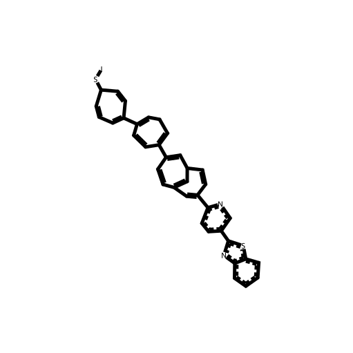 ISC1C=CC=C(C2=CCC=C(C3=CC4C=CC(c5ccc(-c6nc7ccccc7s6)cn5)=CC(=C4)C=C3)C=C2)C=C1